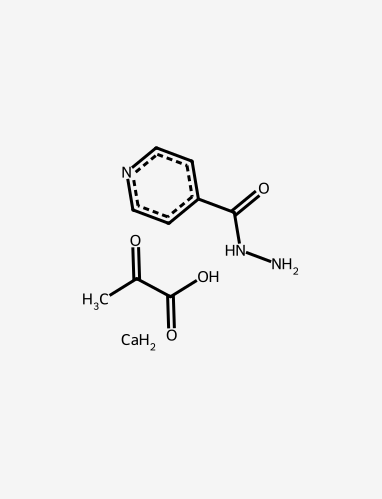 CC(=O)C(=O)O.NNC(=O)c1ccncc1.[CaH2]